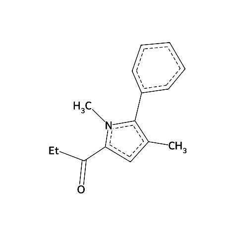 CCC(=O)c1cc(C)c(-c2ccccc2)n1C